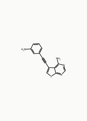 Nc1cccc(C#Cc2csc3ncnc(N)c23)c1